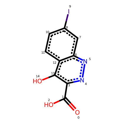 O=C(O)c1nnc2cc(I)ccc2c1O